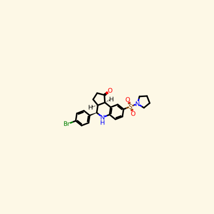 O=C1CC[C@@H]2[C@H](c3ccc(Br)cc3)Nc3ccc(S(=O)(=O)N4CCCC4)cc3[C@H]12